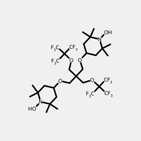 CC1(C)CC(OCC(COC2CC(C)(C)N(O)C(C)(C)C2)(COC(C(F)(F)F)(C(F)(F)F)C(F)(F)F)COC(C(F)(F)F)(C(F)(F)F)C(F)(F)F)CC(C)(C)N1O